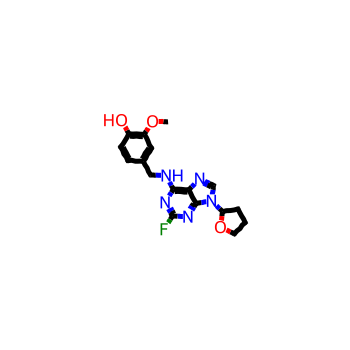 COc1cc(CNc2nc(F)nc3c2ncn3C2CCCO2)ccc1O